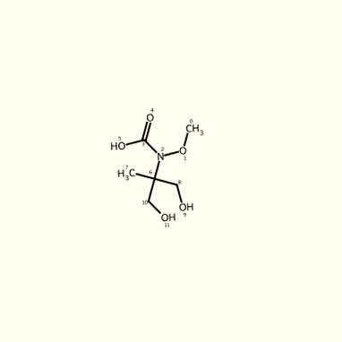 CON(C(=O)O)C(C)(CO)CO